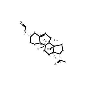 CC(=O)[C@H]1CC[C@H]2[C@@H]3CC=C4C[C@@H](OC=O)CC[C@]4(C)[C@H]3CC[C@]12C